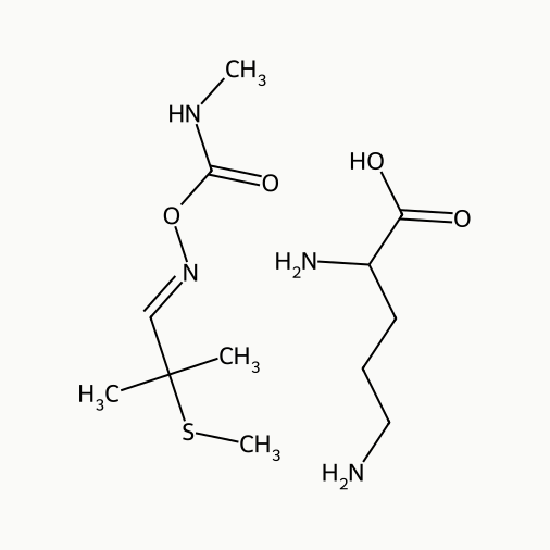 CNC(=O)O/N=C/C(C)(C)SC.NCCCC(N)C(=O)O